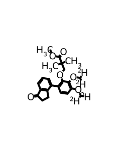 [2H]C([2H])Oc1ccc(-c2cccc3c2CCC3=O)c(OCC(C)(C)C(=O)OC)c1OC([2H])[2H]